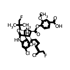 C=C(/C=C\C=C(\Cl)CF)[C@H]1[C@H](C(=O)Oc2ccc(C(=O)O)cc2OC)N[C@@H](CC(C)(C)CF)[C@@]12C(=O)Nc1cc(Cl)ccc12